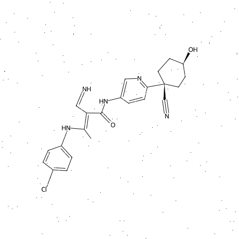 C/C(Nc1ccc(Cl)cc1)=C(/C=N)C(=O)Nc1ccc([C@]2(C#N)CC[C@@H](O)CC2)nc1